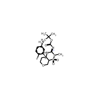 CN1/C(=N/C(=O)OC(C)(C)C)N[C@@]2(c3cc(N)ccc3F)CCOCC2S1(=O)=O